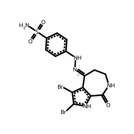 NS(=O)(=O)c1ccc(N/N=C2\CCNC(=O)c3[nH]c(Br)c(Br)c32)cc1